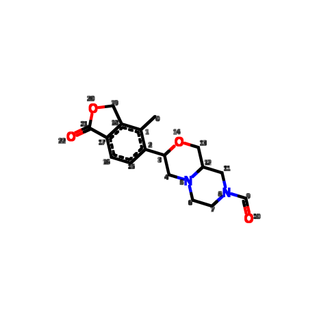 Cc1c(C2CN3CCN(C=O)CC3CO2)ccc2c1COC2=O